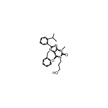 CC(C)c1ccccc1-c1nc2c(c(=O)n(CCCO)c(=O)n2C)n1Cc1ccccc1